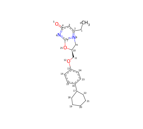 CCc1cc(=O)nc2n1C[C@@H](COc1ccc(C3CCCCC3)cc1)O2